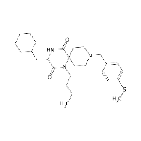 CCCCN1C(=O)C(CC2CCCCC2)NC(=O)C12CCN(Cc1ccc(SC)cc1)CC2